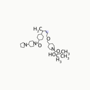 C=C(/C=C\COCC1CCN(C(O)OC(C)(C)C)CC1)C1CCC(C(=O)N2CCC(N3CCCC3)CC2)CC1